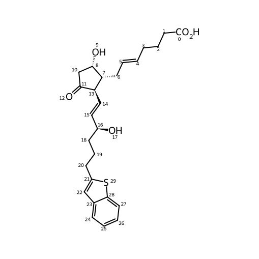 O=C(O)CCCC=CC[C@H]1[C@@H](O)CC(=O)[C@@H]1C=C[C@@H](O)CCCc1cc2ccccc2s1